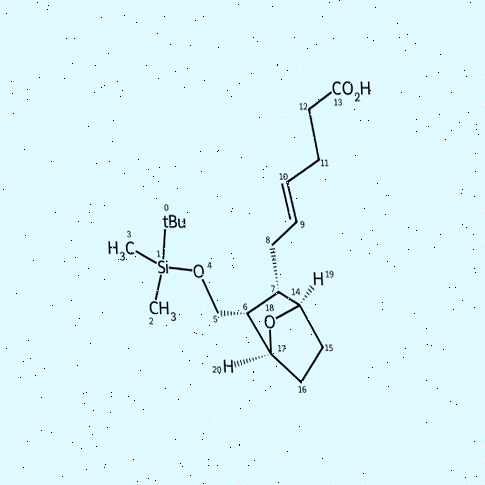 CC(C)(C)[Si](C)(C)OC[C@@H]1[C@H](C/C=C/CCC(=O)O)[C@H]2CC[C@@H]1O2